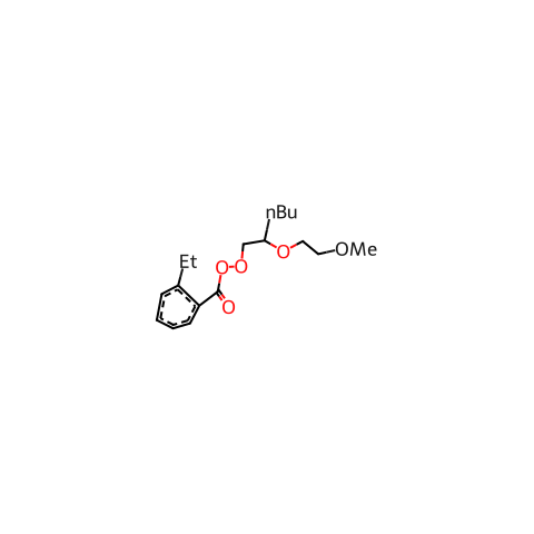 CCCCC(COOC(=O)c1ccccc1CC)OCCOC